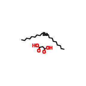 CCCCCCCC[CH2][Ba][CH2]CCCCCCCC.O=C(O)CC(=O)O